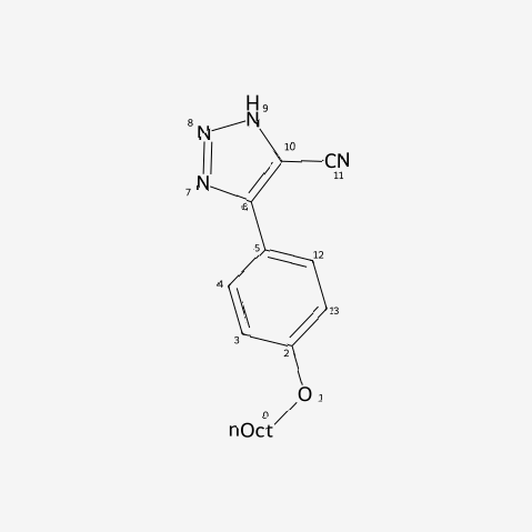 CCCCCCCCOc1ccc(-c2nn[nH]c2C#N)cc1